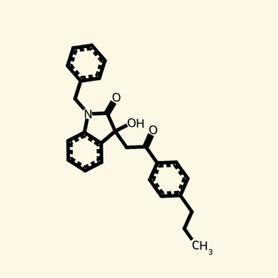 CCCc1ccc(C(=O)CC2(O)C(=O)N(Cc3ccccc3)c3ccccc32)cc1